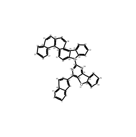 c1ccc2cc(-c3nc(-n4c5ccccc5c5c6ccc7ccc8ccccc8c7c6ccc54)nc4c3oc3ccccc34)ccc2c1